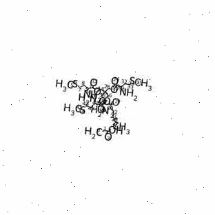 C=CC(=O)O.CSCC[C@H](N)C(=O)OCC(COC(=O)[C@@H](N)CCSC)(COC(=O)[C@@H](N)CCSC)COC(=O)[C@@H](N)CCSC